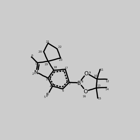 CC1=Nc2c(F)cc(B3OC(C)(C)C(C)(C)O3)cc2C12CCCC2